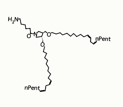 CCCCC/C=C\C/C=C\CCCCCCCCCCOC[C@@H]1CN(C(=O)CCCCCN)C[C@H]1COCCCCCCCCCC/C=C\C/C=C\CCCCC